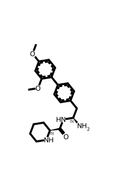 COc1ccc(-c2ccc(C[C@@H](N)NC(=O)[C@@H]3CCCCN3)cc2)c(OC)c1